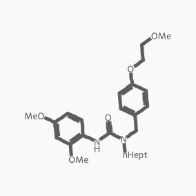 CCCCCCCN(Cc1ccc(OCCOC)cc1)C(=O)Nc1ccc(OC)cc1OC